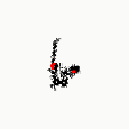 COc1c(CN2O[C@@H](CO)[C@@H]([C@H](C)O)[C@H]2C(=O)N[C@H]2C[C@H]3C[C@@H]([C@@H]2C)C3(C)C)cccc1-c1cc(C(=O)N[C@H](Cc2ccccc2)CN(C)CCOCCOCCOCCN=[N+]=[N-])cc(N(C)C)c1